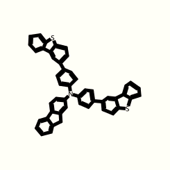 c1ccc2c(c1)Cc1cc(N(c3ccc(-c4ccc5sc6ccccc6c5c4)cc3)c3ccc(-c4ccc5sc6ccccc6c5c4)cc3)ccc1-2